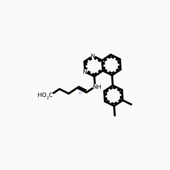 Cc1ccc(-c2cccc3ncnc(N/C=C/CCC(=O)O)c23)cc1C